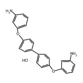 Cl.Nc1cccc(Oc2ccc(-c3ccc(Oc4cccc(N)c4)cc3)cc2)c1